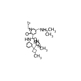 CC(C)CNCc1cc(C(=O)Nc2cccc(C3(c4nncn4C)CC(C)C3)c2)c(=O)n(CC2CC2)c1